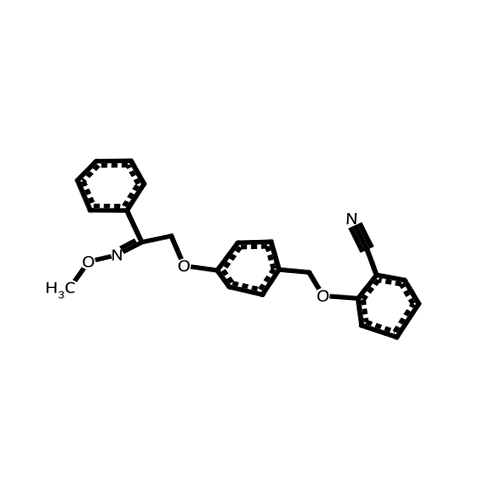 CON=C(COc1ccc(COc2ccccc2C#N)cc1)c1ccccc1